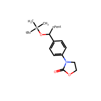 CCCCCC(O[Si](C)(C)C(C)(C)C)c1ccc(N2CCOC2=O)cc1